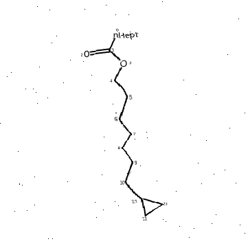 CCCCCCCC(=O)OCCCCCCCC1CC1